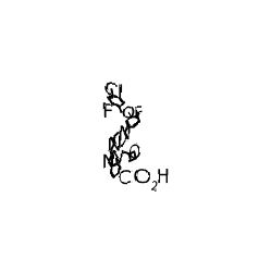 O=C(O)c1ccc2nc(CN3CCN(c4ccc(F)c(OCc5ccc(Cl)cc5F)c4)CC3)n(CC3CCO3)c2c1